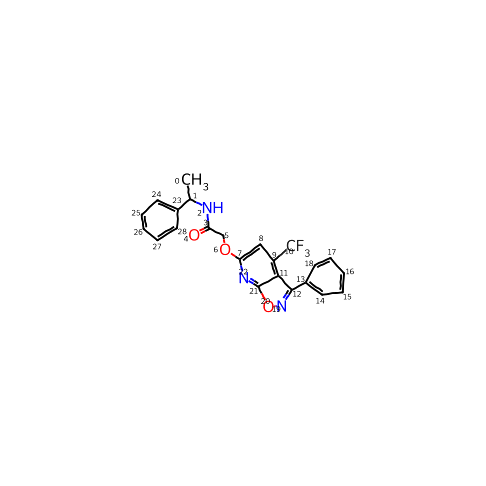 CC(NC(=O)COc1cc(C(F)(F)F)c2c(-c3ccccc3)noc2n1)c1ccccc1